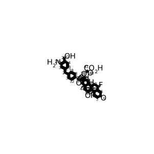 C[C@]12C=CC(=O)C=C1[C@@H](F)C[C@H]1[C@@H]3C[C@H]4O[C@@H](c5ccc(Cc6ccc(CO)c(N)c6)cc5)O[C@@]4(C(=O)COC(=O)C(=O)O)[C@@]3(C)C[C@H](O)[C@@]12F